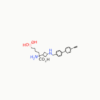 C#Cc1ccc(-c2ccc(CNC3CC(C(N)(CCCCB(O)O)C(=O)O)C3)cc2)cc1